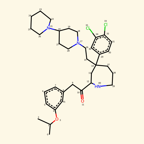 CC(C)Oc1cccc(CC(=O)C2CC(CCN3CCC(N4CCCCC4)CC3)(c3ccc(Cl)c(Cl)c3)CCCN2)c1